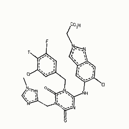 Cn1cnc(Cn2c(=O)nc(Nc3cc4cn(CC(=O)O)nc4cc3Cl)n(Cc3cc(F)c(F)c(Cl)c3)c2=O)n1